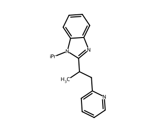 CC(Cc1ccccn1)c1nc2ccccc2n1C(C)C